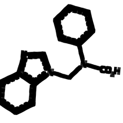 O=C(O)N(Cn1cnc2ccccc21)c1ccccc1